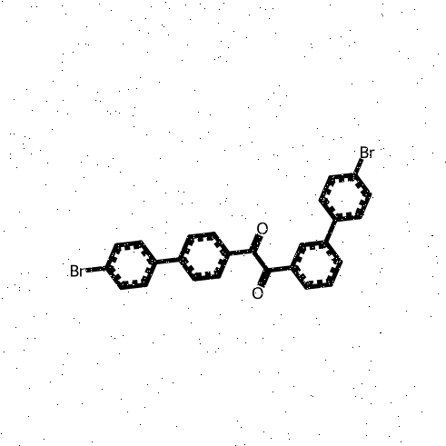 O=C(C(=O)c1cccc(-c2ccc(Br)cc2)c1)c1ccc(-c2ccc(Br)cc2)cc1